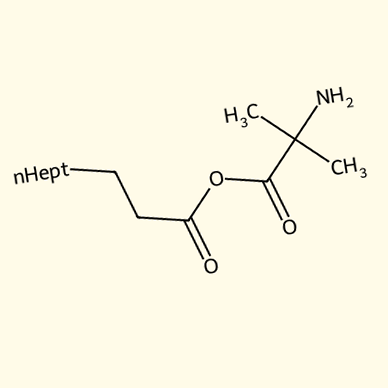 CCCCCCCCCC(=O)OC(=O)C(C)(C)N